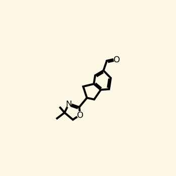 CC1(C)COC(C2Cc3ccc(C=O)cc3C2)=N1